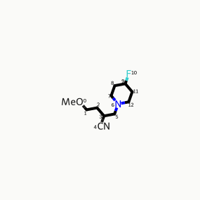 COCCC(C#N)CN1CCC(F)CC1